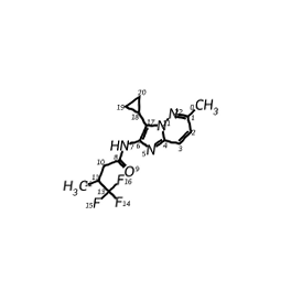 Cc1ccc2nc(NC(=O)CC(C)C(F)(F)F)c(C3CC3)n2n1